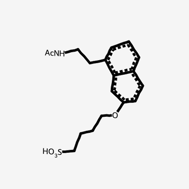 CC(=O)NCCc1cccc2ccc(OCCCCS(=O)(=O)O)cc12